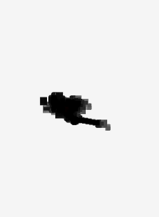 CCCCCCCCCCCOc1cccc(C(=O)NC2C(OC3C(O)C(NC(C)=O)[C@H](O[C@@H](C)C(CO)OC(OC4C(O)C(NC(C)=O)[C@H](OC5C(CO)OC(C)C(NC(C)=O)C5O)O[C@H]4CO)[C@H](O)NC(C)=O)O[C@H]3CO)OC(CO)C(O)C2O)c1